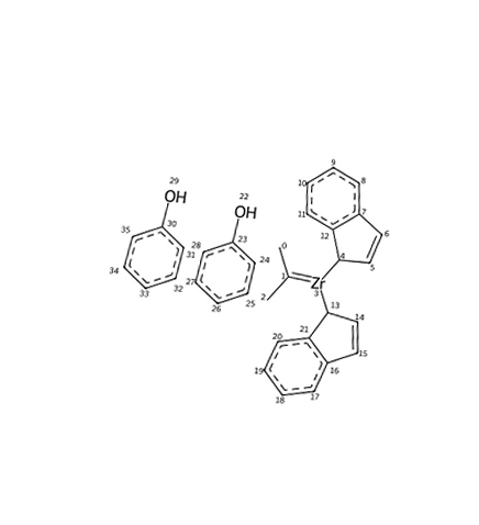 C[C](C)=[Zr]([CH]1C=Cc2ccccc21)[CH]1C=Cc2ccccc21.Oc1ccccc1.Oc1ccccc1